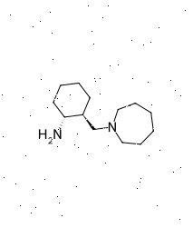 N[C@@H]1CCCC[C@H]1CN1CCCCCC1